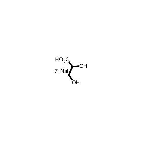 O=C(O)C(O)CO.[NaH].[Zr]